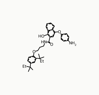 CCC(C)(C)c1ccc(OCCCNC(=O)c2cc(Oc3ccc(N)cc3)c3ccccc3c2O)c(C(C)(C)CC)c1